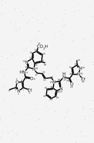 CCc1nc(C)oc1C(=O)Nc1nc2cc(C(=O)O)cc(C)c2n1C/C=C/Cn1c(NC(=O)c2cc(C)nn2CC)nc2ccccc21